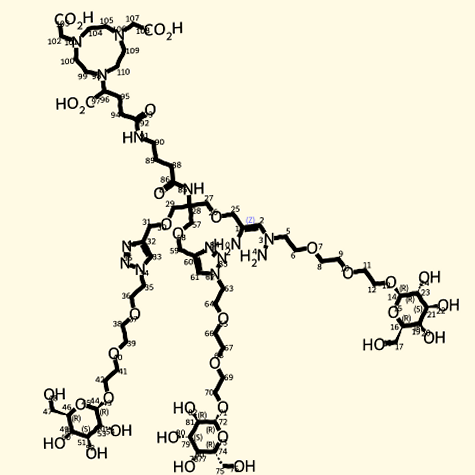 N/C(=C\N(N)CCOCCOCCO[C@@H]1O[C@H](CO)[C@H](O)[C@H](O)[C@H]1O)COCC(COCc1cn(CCOCCOCCO[C@@H]2O[C@H](CO)[C@H](O)[C@H](O)[C@H]2O)nn1)(COCc1cn(CCOCCOCCO[C@@H]2O[C@H](CO)[C@H](O)[C@H](O)[C@H]2O)nn1)NC(=O)CCCNC(=O)CCC(C(=O)O)N1CCN(CC(=O)O)CCN(CC(=O)O)CC1